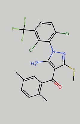 CSc1nn(-c2c(Cl)ccc(C(F)(F)F)c2Cl)c(N)c1C(=O)c1cc(C)ccc1C